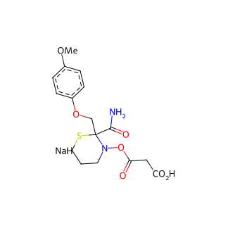 COc1ccc(OCC2(C(N)=O)SCCCN2OC(=O)CC(=O)O)cc1.[NaH]